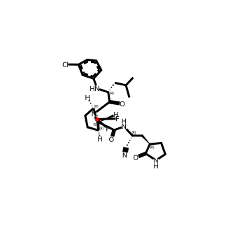 CC(C)C[C@@H](Nc1cccc(Cl)c1)C(=O)N1[C@@H]2CC[C@H]([C@H]1C(=O)N[C@@H](C#N)C[C@H]1CCNC1=O)C(F)(F)C2